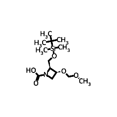 COCO[C@@H]1CN(C(=O)O)[C@H]1CO[Si](C)(C)C(C)(C)C